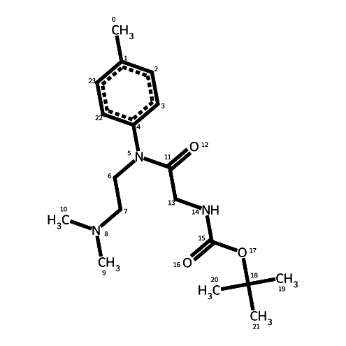 Cc1ccc(N(CCN(C)C)C(=O)CNC(=O)OC(C)(C)C)cc1